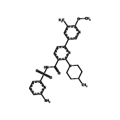 COc1ncc(-c2ccc(C(=O)NS(=O)(=O)c3cccc(N)n3)c(N3CCC(C)CC3)n2)cc1C